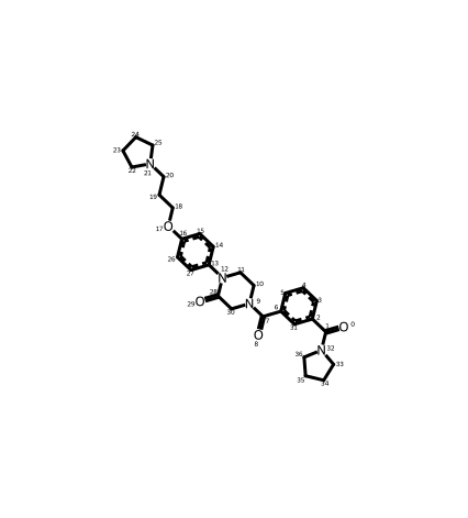 O=C(c1cccc(C(=O)N2CCN(c3ccc(OCCCN4CCCC4)cc3)C(=O)C2)c1)N1CCCC1